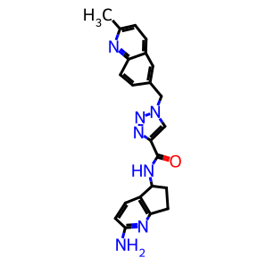 Cc1ccc2cc(Cn3cc(C(=O)NC4CCc5nc(N)ccc54)nn3)ccc2n1